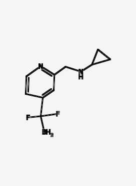 BC(F)(F)c1ccnc(CNC2CC2)c1